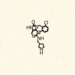 O=c1[nH]c2cnc(NCC3CCNC3)nc2n1Cc1c(Cl)cccc1Cl